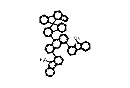 Cn1c2ccccc2c2cccc(-c3cccc4c(-c5cccc6c5-c5ccccc5C65c6ccccc6-c6ccc7ccccc7c65)c5cccc(-c6cccc7c8ccccc8n(C)c67)c5cc34)c21